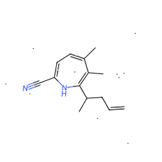 C=CCC(C)C1=C(C)C(C)=CC=C(C#N)N1